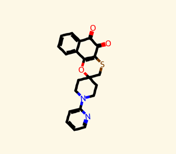 O=C1C(=O)c2ccccc2C2=C1SCC1(CCN(c3ccccn3)CC1)O2